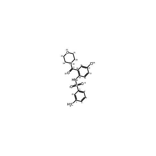 Cc1cccc(S(=O)(=O)Nc2ccc(Cl)cc2C(=O)N2CCOCC2)c1